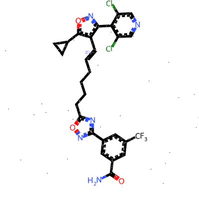 NC(=O)c1cc(-c2noc(CCCC/C=C/c3c(-c4c(Cl)cncc4Cl)noc3C3CC3)n2)cc(C(F)(F)F)c1